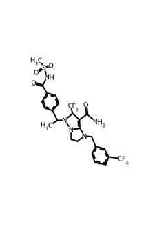 CC(c1ccc(C(=O)NS(C)(=O)=O)cc1)N1C(C(F)(F)F)C(C(N)=O)=C2N(Cc3cccc(C(F)(F)F)c3)CCN21